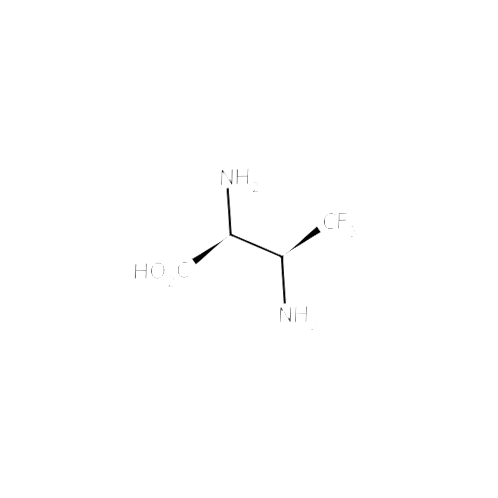 N[C@H](C(=O)O)[C@H](N)C(F)(F)F